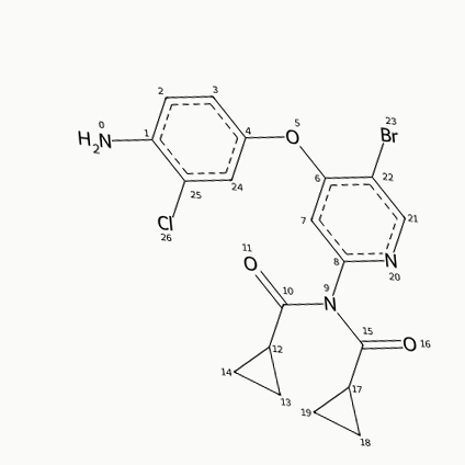 Nc1ccc(Oc2cc(N(C(=O)C3CC3)C(=O)C3CC3)ncc2Br)cc1Cl